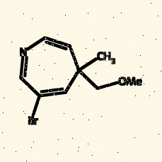 COCC1(C)C=CN=CC(Br)=C1